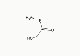 O=C(F)CO.[AsH3]